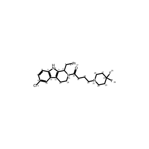 CC(C)CC1c2[nH]c3ccc(Cl)cc3c2CCN1C(=O)CCCN1CCC(F)(F)CC1